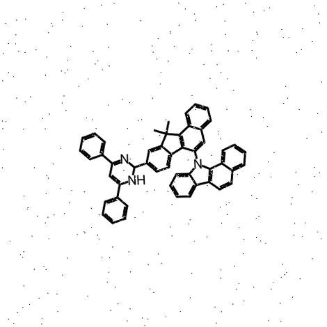 CC1(C)c2cc(C3N=C(c4ccccc4)C=C(c4ccccc4)N3)ccc2-c2c(-n3c4ccccc4c4ccc5ccccc5c43)cc3ccccc3c21